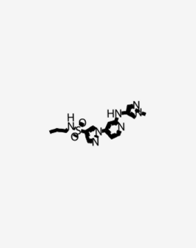 CCCNS(=O)(=O)c1cnn(-c2ccnc(Nc3cnn(C)c3)c2)c1